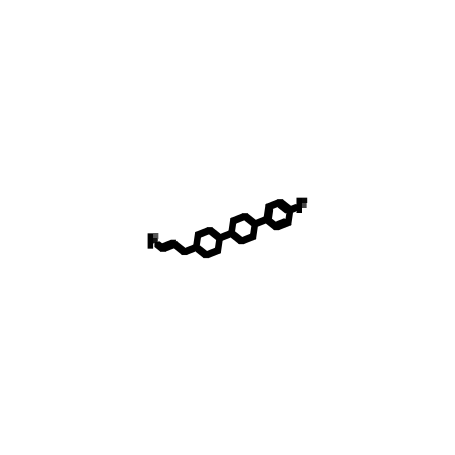 F/C=C/CC1CCC(C2CCC(c3ccc(F)cc3)CC2)CC1